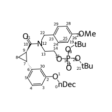 CCCCCCCCCCOc1cccc([C@@H]2C[C@H]2C(=O)N(CCOP(=O)(OC(C)(C)C)OC(C)(C)C)Cc2ccc(OC)cc2)c1